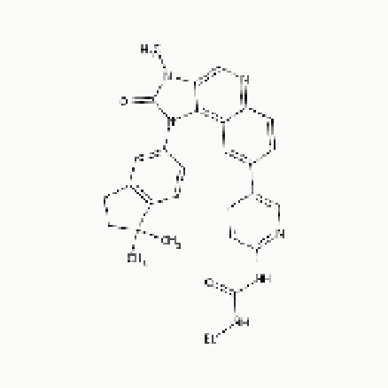 CCNC(=O)Nc1ccc(-c2ccc3ncc4c(c3c2)n(-c2ccc3c(c2)CCC3(C)C)c(=O)n4C)cn1